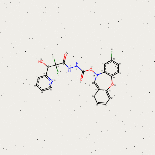 O=C(NNC(=O)C(F)(F)C(O)c1ccccn1)ON1C=C2CC=CC=C2Oc2ccc(Cl)cc21